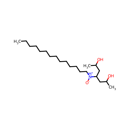 CCCCCCCCCCCCCC[NH+]([O-])C(CC(C)O)CC(C)O